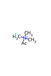 CC(=O)[N+](C)(C)C.[F-]